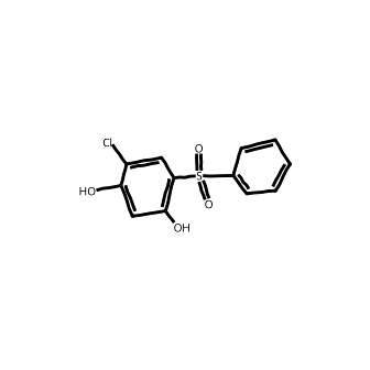 O=S(=O)(c1ccccc1)c1cc(Cl)c(O)cc1O